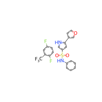 Fc1ccc(F)c(C(F)(F)F)c1.O=S(=O)(Nc1ccccc1)c1c[nH]c(-c2ccoc2)c1